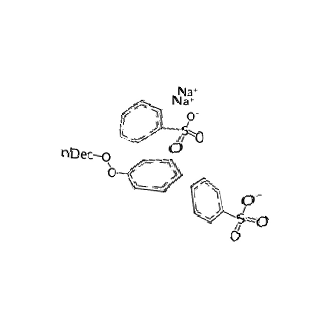 CCCCCCCCCCOOc1ccccc1.O=S(=O)([O-])c1ccccc1.O=S(=O)([O-])c1ccccc1.[Na+].[Na+]